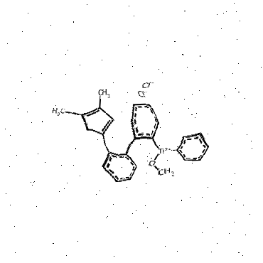 C[O][Ti+2]([c]1ccccc1)[c]1ccccc1-c1ccccc1C1=CC(C)=C(C)C1.[Cl-].[Cl-]